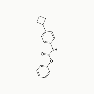 O=C(Nc1ccc(C2CCC2)cc1)Oc1ccccc1